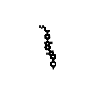 CN1CCN(c2ccc3nc(-c4ccc5nc(-c6ccc(N(C)CCN)cc6)[nH]c5c4)[nH]c3c2)CC1